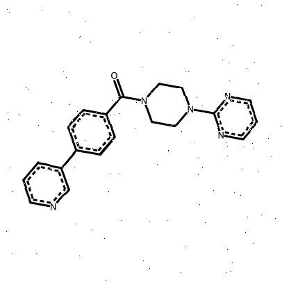 O=C(c1ccc(-c2cccnc2)cc1)N1CCN(c2ncccn2)CC1